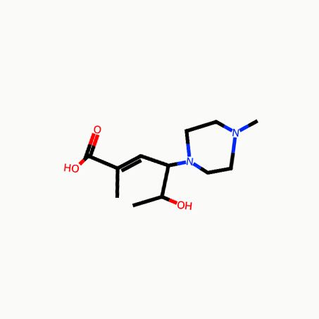 CC(=CC(C(C)O)N1CCN(C)CC1)C(=O)O